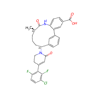 C[C@@H]1CCC[C@@H](N2CCC(c3c(F)ccc(Cl)c3F)=CC2=O)c2cccc(c2)-c2cc(C(=O)O)ccc2NC1=O